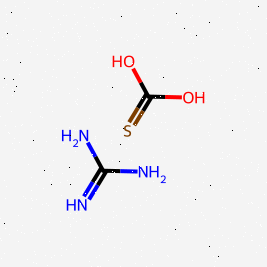 N=C(N)N.OC(O)=S